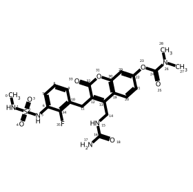 CNS(=O)(=O)Nc1cccc(Cc2c(CNC(N)=O)c3ccc(OC(=O)N(C)C)cc3oc2=O)c1F